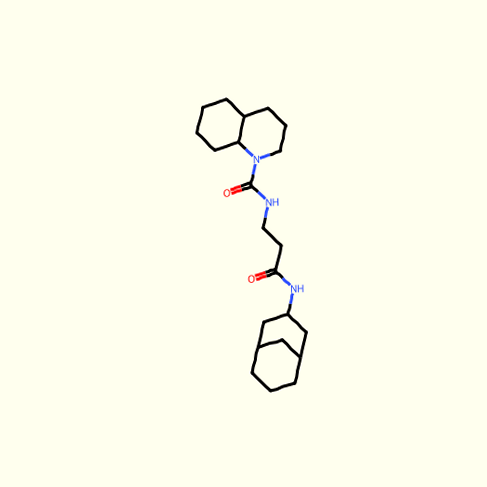 O=C(CCNC(=O)N1CCCC2CCCCC21)NC1CC2CCCC(C2)C1